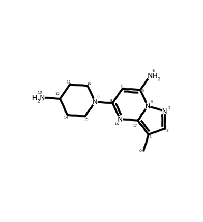 Cc1cnn2c(N)cc(N3CCC(N)CC3)nc12